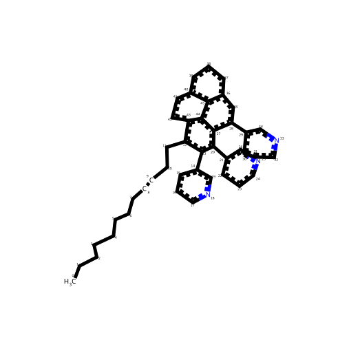 CCCCCCCCCCCCc1c(-c2cccnc2)c(-c2cccnc2)c2c(-c3cccnc3)cc3cccc4ccc1c2c43